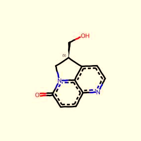 O=c1ccc2nccc3c2n1C[C@H]3CO